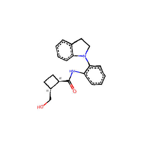 O=C(Nc1ccccc1N1CCc2ccccc21)[C@@H]1CC[C@@H]1CO